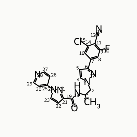 CC(Cn1ccc(-c2cc(F)c(C#N)c(Cl)c2)n1)NC(=O)c1ccn(-c2ccncc2)n1